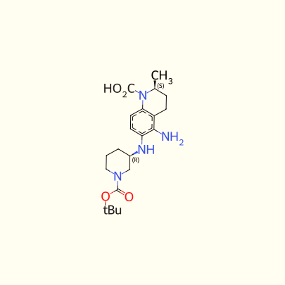 C[C@H]1CCc2c(ccc(N[C@@H]3CCCN(C(=O)OC(C)(C)C)C3)c2N)N1C(=O)O